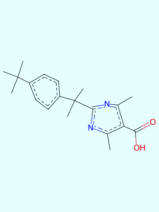 Cc1nc(C(C)(C)c2ccc(C(C)(C)C)cc2)nc(C)c1C(=O)O